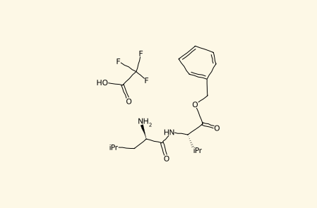 CC(C)C[C@@H](N)C(=O)N[C@H](C(=O)OCc1ccccc1)C(C)C.O=C(O)C(F)(F)F